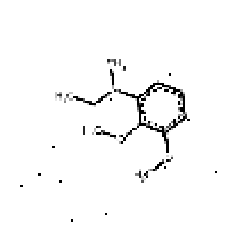 CCN(C)c1cccc(OC)c1OC